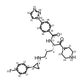 O=C(N[C@@H](CCCN[C@@H]1C[C@H]1c1ccc(F)cc1)C(=O)N1CCNCC1)c1ccc(-n2ccnn2)cc1